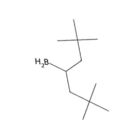 BC(CC(C)(C)C)CC(C)(C)C